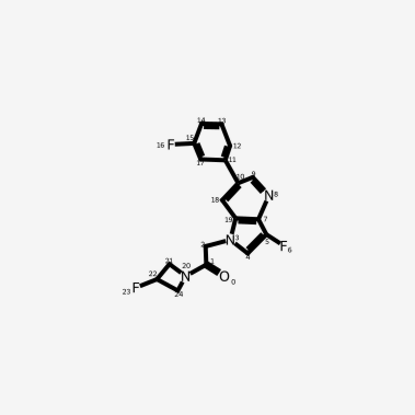 O=C(Cn1cc(F)c2ncc(-c3cccc(F)c3)cc21)N1CC(F)C1